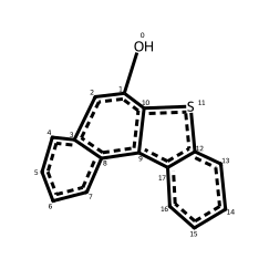 Oc1cc2ccccc2c2c1sc1ccccc12